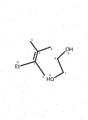 CCC(C)=C(C)C.OCCO